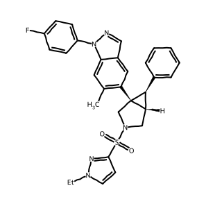 CCn1ccc(S(=O)(=O)N2C[C@H]3[C@H](c4ccccc4)[C@@]3(c3cc4cnn(-c5ccc(F)cc5)c4cc3C)C2)n1